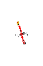 CCOCCOCCOCCOCCOC1C[C@@H](C)CC2C(OCCOCCOCCOCCOCC3=CSC(=C4SC=CS4)S3)C[C@@H](C)CC12